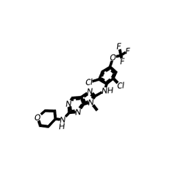 Cn1c(Nc2c(Cl)cc(OC(F)(F)F)cc2Cl)nc2cnc(NC3CCOCC3)nc21